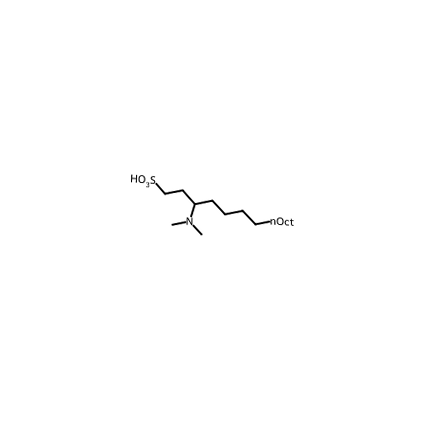 CCCCCCCCCCCCC(CCS(=O)(=O)O)N(C)C